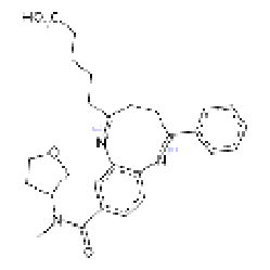 CN(C(=O)c1ccc2c(c1)/N=C(/CCCCC(=O)O)CC/C(c1ccccc1)=N\2)C1CCOC1